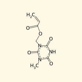 C=CC(=O)OCn1c(=O)[nH]c(=O)n(C)c1=O